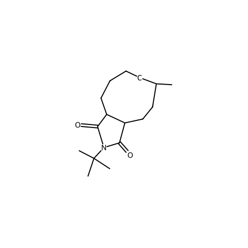 CC1CCCCC2C(=O)N(C(C)(C)C)C(=O)C2CC1